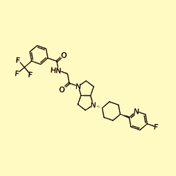 O=C(NCC(=O)N1CCC2C1CCN2[C@H]1CC[C@H](c2ccc(F)cn2)CC1)c1cccc(C(F)(F)F)c1